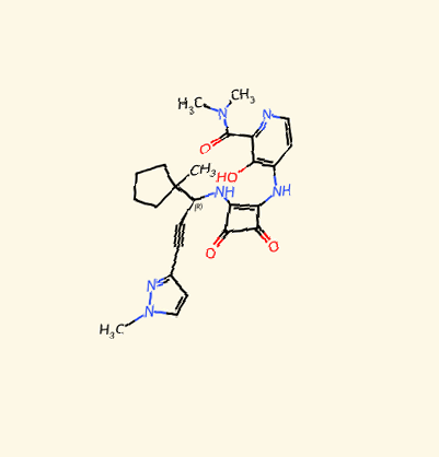 CN(C)C(=O)c1nccc(Nc2c(N[C@@H](C#Cc3ccn(C)n3)C3(C)CCCC3)c(=O)c2=O)c1O